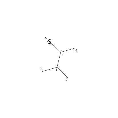 CC(C)C(C)[S]